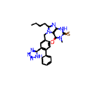 CCCCc1nc2[nH]c(=S)n(C)c(=O)c2n1Cc1ccc(-c2ccccc2)c(-c2nnn[nH]2)c1